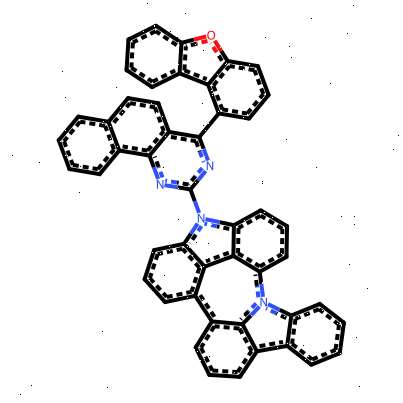 c1ccc2c(c1)ccc1c(-c3cccc4oc5ccccc5c34)nc(-n3c4cccc5c6cccc7c8ccccc8n(c8cccc3c8c54)c67)nc12